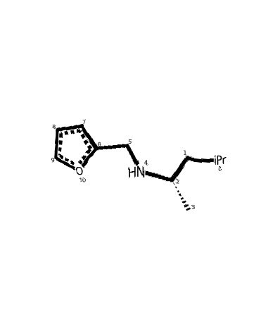 CC(C)C[C@H](C)NCc1ccco1